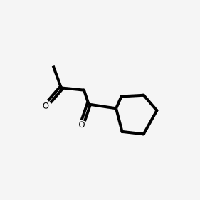 CC(=O)CC(=O)C1CCCCC1